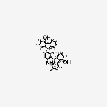 Nc1ccc(C2c3ccccc3-c3c(O)cccc32)cc1C1c2ccccc2-c2c(O)cccc21